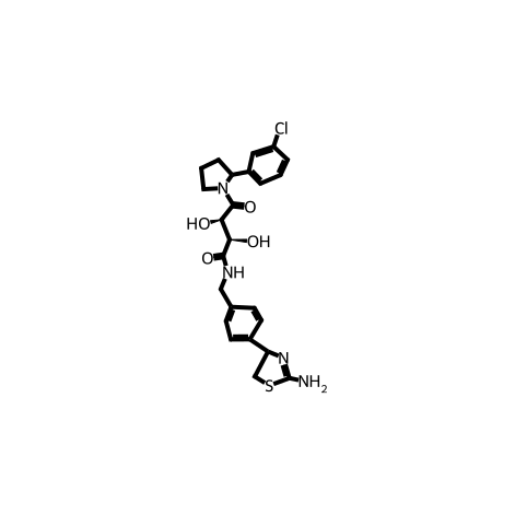 NC1=NC(c2ccc(CNC(=O)[C@H](O)[C@@H](O)C(=O)N3CCCC3c3cccc(Cl)c3)cc2)CS1